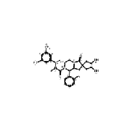 Cc1ccccc1C1C2CC(CCO)(CCO)C(=O)N2CCN1C(=O)N(C)[C@H](C)c1cc(C(F)(F)F)cc(C(F)(F)F)c1